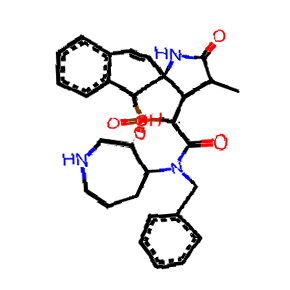 CC1C(=O)NC23C=Cc4ccccc4C2S(=O)(=O)[C](C(=O)N(Cc2ccccc2)C2CCCNC[C@@H]2O)C13